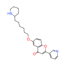 O=c1cc(-c2cccnc2)oc2ccc(OCCCCCCC3CCCCN3)cc12